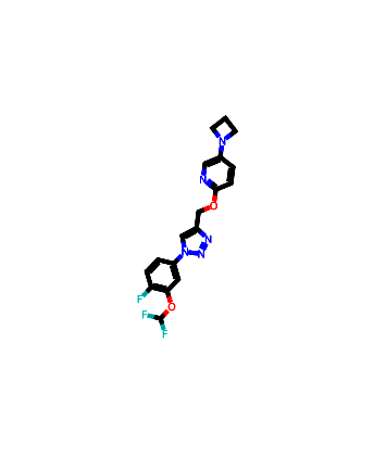 Fc1ccc(-n2cc(COc3ccc(N4CCC4)cn3)nn2)cc1OC(F)F